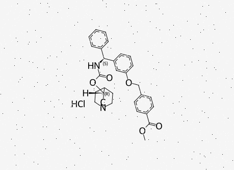 COC(=O)c1ccc(COc2cccc([C@@H](NC(=O)O[C@H]3CN4CCC3CC4)c3ccccc3)c2)cc1.Cl